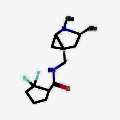 CC(C)(C)[C@@H]1C[C@@]2(CNC(=O)C3CCCC3(F)F)CC2N1C(C)(C)C